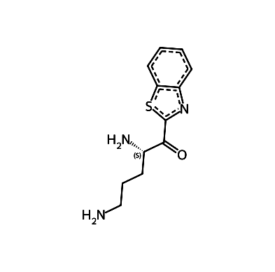 NCCC[C@H](N)C(=O)c1nc2ccccc2s1